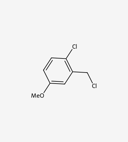 COc1ccc(Cl)c(CCl)c1